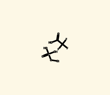 CCOP(=O)(O)O.O=C(O)C(F)(F)F